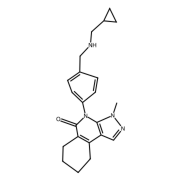 Cn1ncc2c3c(c(=O)n(-c4ccc(CNCC5CC5)cc4)c21)CCCC3